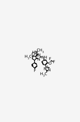 CNc1nc(Nc2ccc(-n3cnc(C)n3)c(OC(F)F)c2)nc2c1C(C)(C)CC2c1c#cc(F)cc1